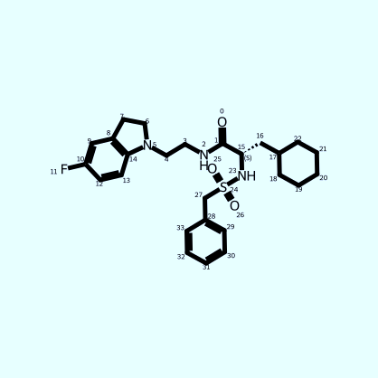 O=C(NCCN1CCc2cc(F)ccc21)[C@H](CC1CCCCC1)NS(=O)(=O)Cc1ccccc1